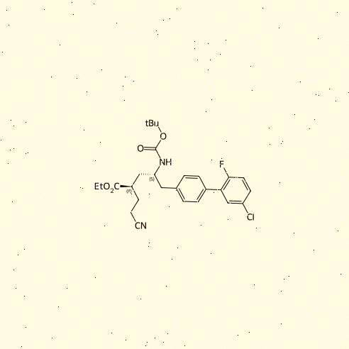 CCOC(=O)[C@H](CCC#N)C[C@@H](Cc1ccc(-c2cc(Cl)ccc2F)cc1)NC(=O)OC(C)(C)C